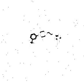 FC(F)(F)c1cccc(N2CCN(CCSc3nc[nH]n3)CC2)c1